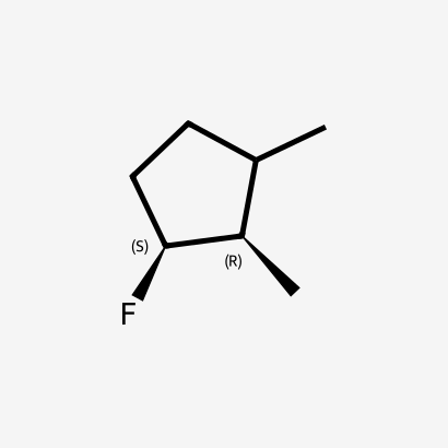 CC1CC[C@H](F)[C@@H]1C